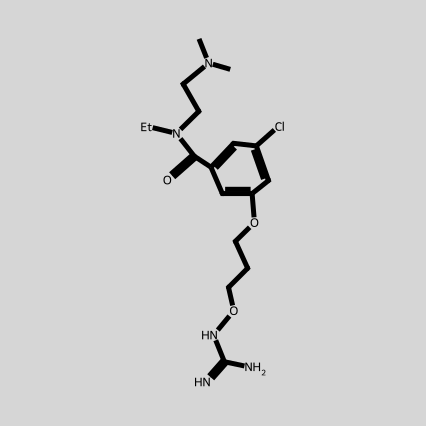 CCN(CCN(C)C)C(=O)c1cc(Cl)cc(OCCCONC(=N)N)c1